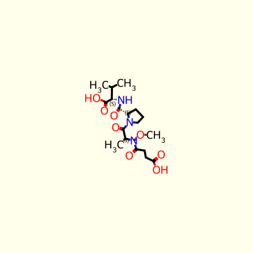 CON(C(=O)CCC(=O)O)[C@@H](C)C(=O)N1CCC[C@H]1C(=O)N[C@H](C(=O)O)C(C)C